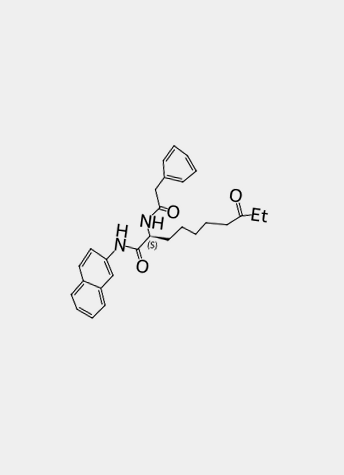 CCC(=O)CCCCC[C@H](NC(=O)Cc1ccccc1)C(=O)Nc1ccc2ccccc2c1